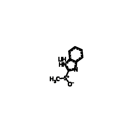 C[S+]([O-])c1nc2ccccc2[nH]1.[LiH]